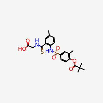 Cc1ccc(NS(=O)(=O)c2ccc(OC(=O)C(C)(C)C)c(C)c2)c(C(=S)NCC(=O)O)c1